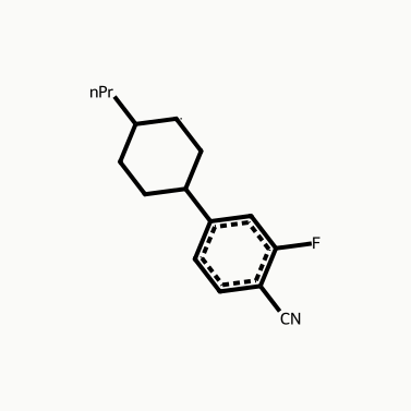 CCCC1[CH]CC(c2ccc(C#N)c(F)c2)CC1